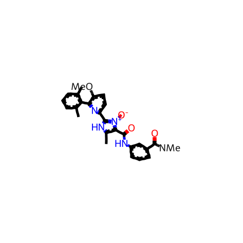 CNC(=O)c1cccc(NC(=O)c2c(C)[nH]c(-c3ccc(OC)c(-c4c(C)cccc4C)n3)[n+]2[O-])c1